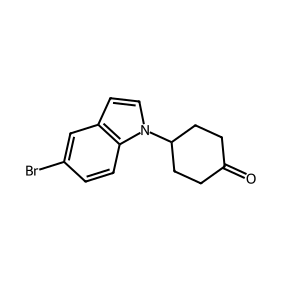 O=C1CCC(n2ccc3cc(Br)ccc32)CC1